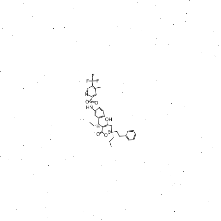 CCC[C@@]1(CCc2ccccc2)CC(O)=C([C@H](CC)c2cccc(NS(=O)(=O)c3cc(C)c(C(F)(F)F)cn3)c2)C(=O)O1